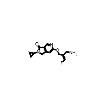 NC/C(=C/F)COc1cc2c(cn1)C(=O)N(C1CC1)C2